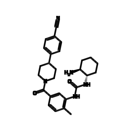 Cc1ccc(C(=O)N2CCC(c3ccc(C#N)cc3)CC2)cc1NC(=O)N[C@H]1CCCC[C@@H]1N